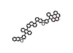 c1ccc2cc3c(cc2c1)oc1ccc(-c2c4ccccc4c(-c4ccc5ccc6c(-c7cccc8cc9c(cc78)oc7ccc(-c8c%10ccccc%10c(-c%10cccc%11ccc%12ccccc%12c%10%11)c%10ccccc8%10)cc79)cccc6c5c4)c4ccccc24)cc13